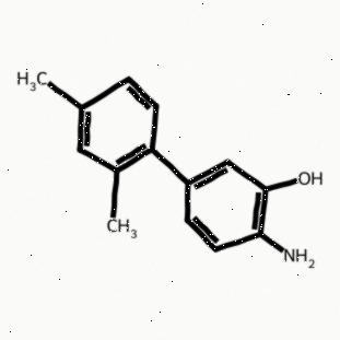 Cc1ccc(-c2ccc(N)c(O)c2)c(C)c1